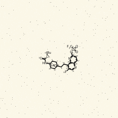 CC(C)(C)OC(=O)NC12CCC(CCc3c(F)cnc4ccc(OS(=O)(=O)C(F)(F)F)nc34)(CC1)OC2